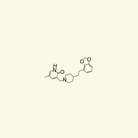 Cc1c[nH]c(=O)c(CN2CCC(CCc3cccc4c3OCO4)CC2)c1